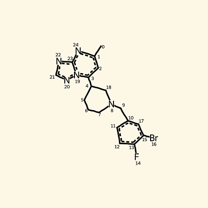 Cc1cc(C2CCCN(Cc3ccc(F)c(Br)c3)C2)n2ncnc2n1